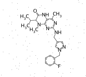 Cc1nc(NCc2cnn(Cc3ccccc3F)c2)nc2c1NC(=O)C(C(C)C)N2C